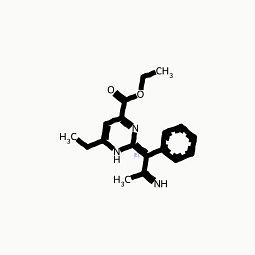 CCOC(=O)C1=N/C(=C(/C(C)=N)c2ccccc2)NC(CC)=C1